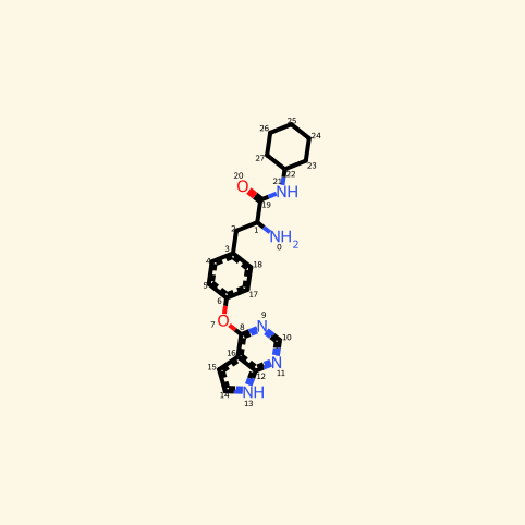 NC(Cc1ccc(Oc2ncnc3[nH]ccc23)cc1)C(=O)NC1CCCCC1